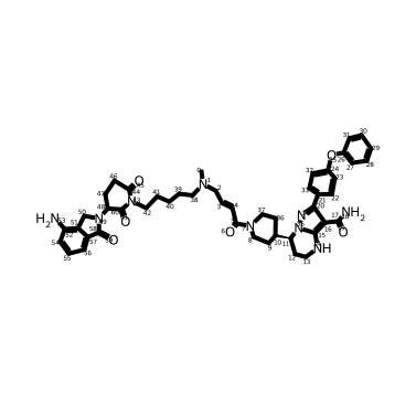 CN(C/C=C/C(=O)N1CCC([C@@H]2CCNc3c(C(N)=O)c(-c4ccc(Oc5ccccc5)cc4)nn32)CC1)CCCCCN1C(=O)CCC(N2Cc3c(N)cccc3C2=O)C1=O